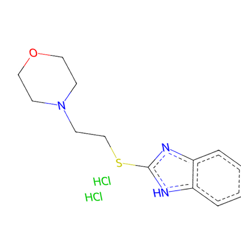 Cl.Cl.c1ccc2[nH]c(SCCN3CCOCC3)nc2c1